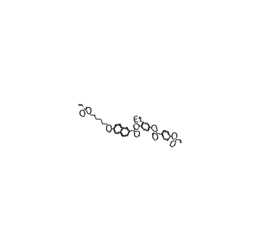 C=CC(=O)OCCCCCCOc1ccc2cc(C(=O)Oc3ccc(OC(=O)c4ccc(OC(=O)C=C)cc4)cc3CC)ccc2c1